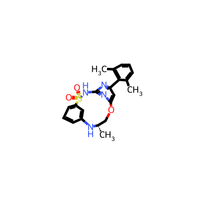 Cc1cccc(C)c1-c1cc2nc(n1)NS(=O)(=O)c1cccc(c1)N[C@@H](C)CO2